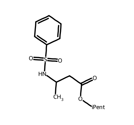 CCCC(C)OC(=O)CC(C)NS(=O)(=O)c1ccccc1